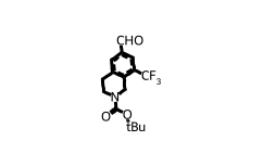 CC(C)(C)OC(=O)N1CCc2cc(C=O)cc(C(F)(F)F)c2C1